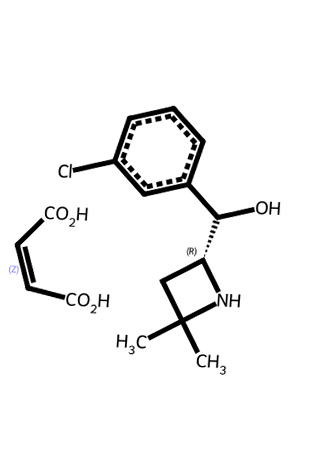 CC1(C)C[C@H](C(O)c2cccc(Cl)c2)N1.O=C(O)/C=C\C(=O)O